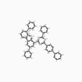 c1ccc(-c2ccc(-c3nc(-c4ccccc4)nc(-c4cc(-c5ccccc5)cc5c4sc4c(-c6ccccc6)cccc45)n3)cc2)cc1